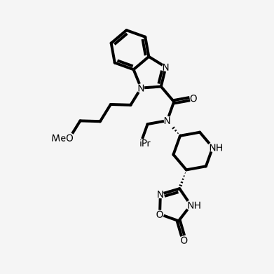 COCCCCn1c(C(=O)N(CC(C)C)[C@@H]2CNC[C@H](c3noc(=O)[nH]3)C2)nc2ccccc21